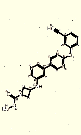 C#Cc1cccc(Oc2ncc(-c3cncc(NC4CN(C(=O)OC(C)(C)C)C4)c3)cn2)c1